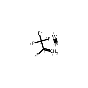 C=C(F)C(F)(F)F.[P]#[W]